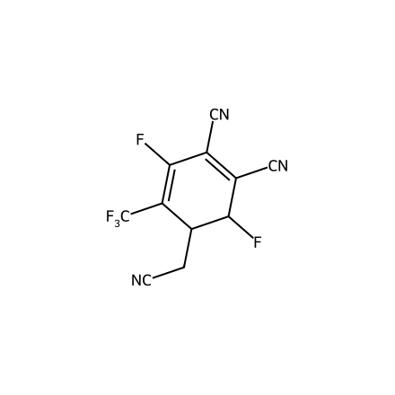 N#CCC1C(C(F)(F)F)=C(F)C(C#N)=C(C#N)C1F